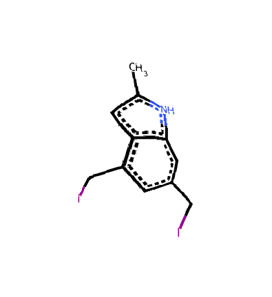 Cc1cc2c(CI)cc(CI)cc2[nH]1